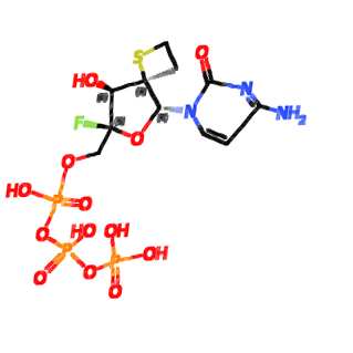 Nc1ccn([C@@H]2O[C@](F)(COP(=O)(O)OP(=O)(O)OP(=O)(O)O)[C@@H](O)[C@]23CCS3)c(=O)n1